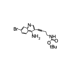 CC(C)(C)OC(=O)NCCC#Cc1cnc2cc(Br)ccc2c1N